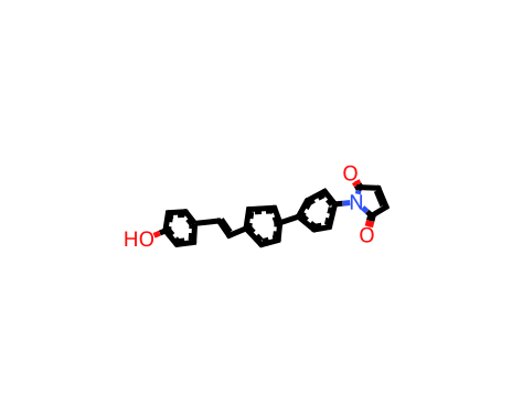 O=C1C=CC(=O)N1c1ccc(-c2ccc(/C=C/c3ccc(O)cc3)cc2)cc1